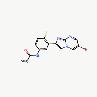 COC(=O)Nc1ccc(F)c(-c2cn3cc(Br)cnc3n2)c1